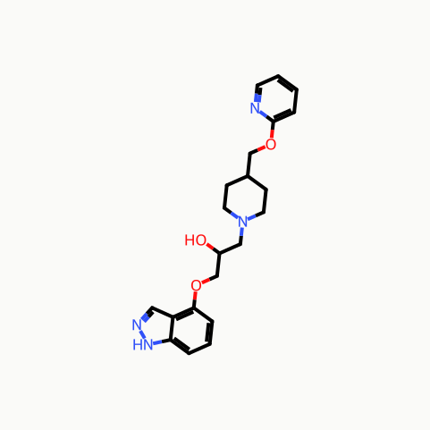 OC(COc1cccc2[nH]ncc12)CN1CCC(COc2ccccn2)CC1